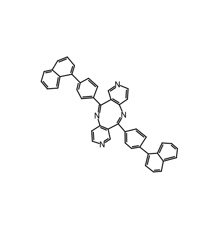 c1ccc2c(-c3ccc(/C4=N/c5ccncc5/C(c5ccc(-c6cccc7ccccc67)cc5)=N\c5ccncc54)cc3)cccc2c1